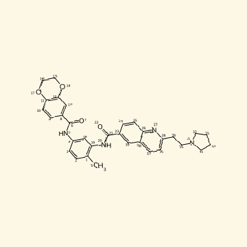 Cc1ccc(NC(=O)c2ccc3c(c2)OCCO3)cc1NC(=O)c1ccc2nc(CCN3CCCC3)ccc2c1